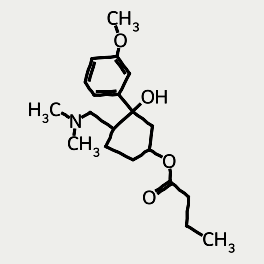 CCCC(=O)OC1CCC(CN(C)C)C(O)(c2cccc(OC)c2)C1